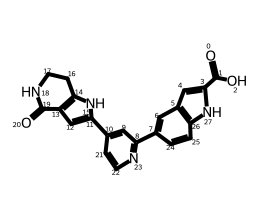 O=C(O)c1cc2cc(-c3cc(-c4cc5c([nH]4)CCNC5=O)ccn3)ccc2[nH]1